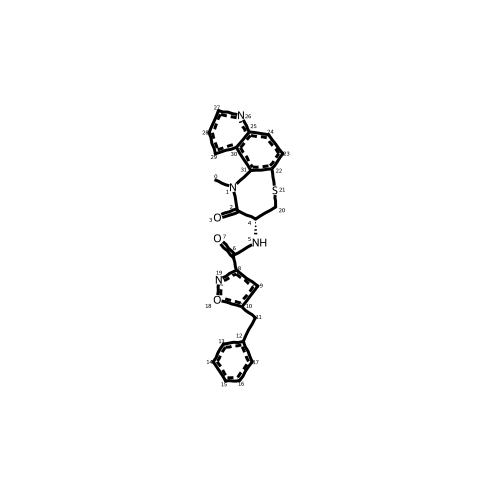 CN1C(=O)[C@@H](NC(=O)c2cc(Cc3ccccc3)on2)CSc2ccc3ncccc3c21